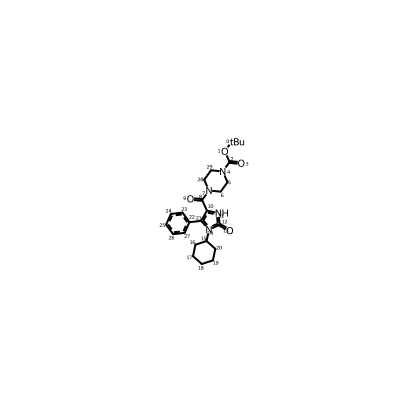 CC(C)(C)OC(=O)N1CCN(C(=O)c2[nH]c(=O)n(C3CCCCC3)c2-c2ccccc2)CC1